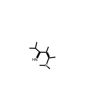 C/C(C(=N)C(C)C)=C(\C)N(C)C